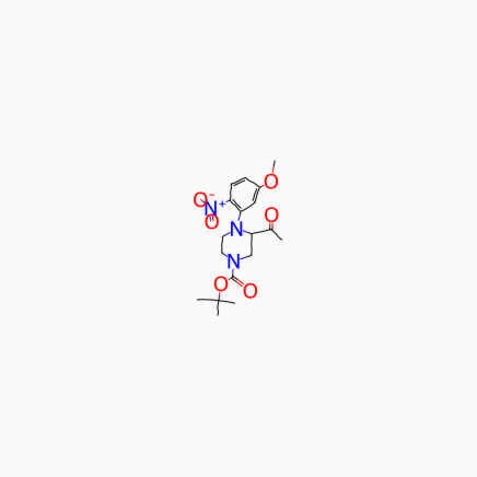 COc1ccc([N+](=O)[O-])c(N2CCN(C(=O)OC(C)(C)C)CC2C(C)=O)c1